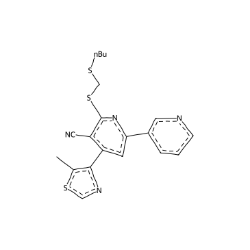 CCCCSCSc1nc(-c2cccnc2)cc(-c2ncsc2C)c1C#N